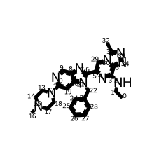 CCNc1nc(-c2nc3cnc(N4CCN(C)CC4)cc3n2Cc2ccccc2)cn2c(C)nnc12